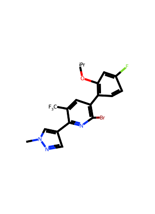 CC(C)Oc1cc(F)ccc1-c1cc(C(F)(F)F)c(-c2cnn(C)c2)nc1Br